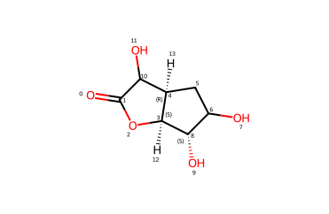 O=C1O[C@H]2[C@H](CC(O)[C@@H]2O)C1O